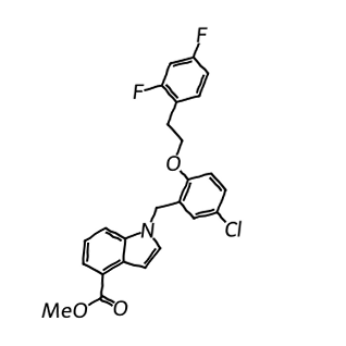 COC(=O)c1cccc2c1ccn2Cc1cc(Cl)ccc1OCCc1ccc(F)cc1F